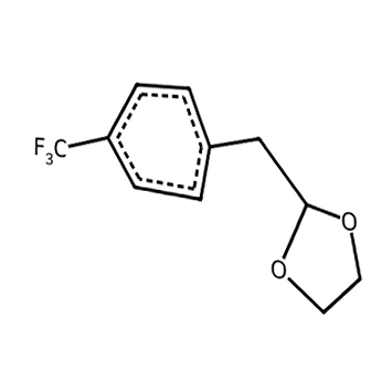 FC(F)(F)c1ccc(CC2OCCO2)cc1